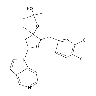 CC(C)(O)OC1(C)CC(n2ccc3cncnc32)OC1Cc1ccc(Cl)c(Cl)c1